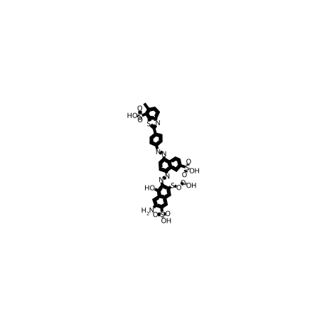 Cc1ccc2nc(-c3ccc(N=Nc4ccc(N=Nc5c(SOOO)cc6cc(S(=O)(=O)O)c(N)cc6c5O)c5cc(S(=O)(=O)O)ccc45)cc3)sc2c1S(=O)(=O)O